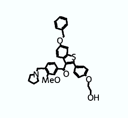 COc1cc(C(=O)c2c(-c3ccc(OCCO)cc3)sc3cc(OCc4ccccc4)ccc23)ccc1CN1CCCC1